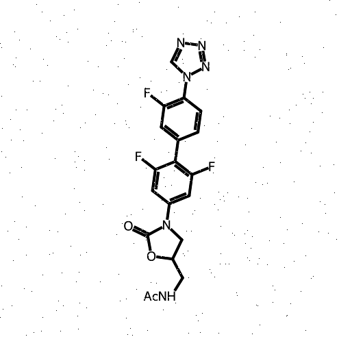 CC(=O)NCC1CN(c2cc(F)c(-c3ccc(-n4cnnn4)c(F)c3)c(F)c2)C(=O)O1